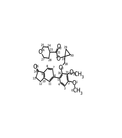 COc1ccc(-c2ccc3c(c2)CCC3=O)c(OCC2(OC(=O)C3CCOCC3)CC2)c1OC